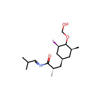 CC(C)/C=N/C(=O)[C@@H](C)C[C@H]1C[C@@H](I)C(OCO)[C@@H](C)C1